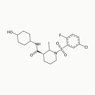 O=C(NC1CCC(O)CC1)[C@@H]1CCCN(S(=O)(=O)c2cc(Cl)ccc2F)C1I